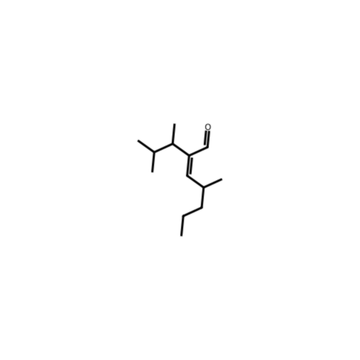 CCCC(C)C=C(C=O)C(C)C(C)C